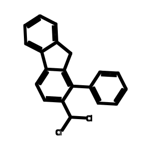 ClC(Cl)c1ccc2c(c1-c1ccccc1)Cc1ccccc1-2